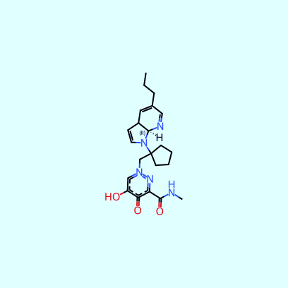 CCCC1=CC2C=CN(C3(Cn4cc(O)c(=O)c(C(=O)NC)n4)CCCC3)[C@@H]2N=C1